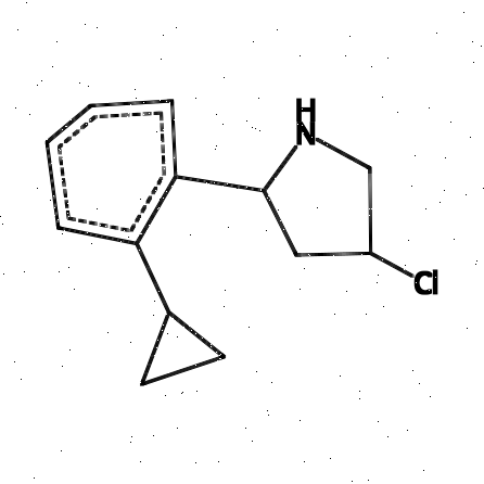 ClC1CNC(c2ccccc2C2CC2)C1